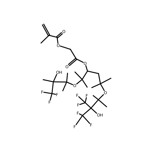 C=C(C)C(=O)OCC(=O)OC(CC(C)(C)OC(C)(C)C(O)(C(F)(F)F)C(F)(F)F)C(C)(C)OC(C)(C)C(C)(O)C(F)(F)F